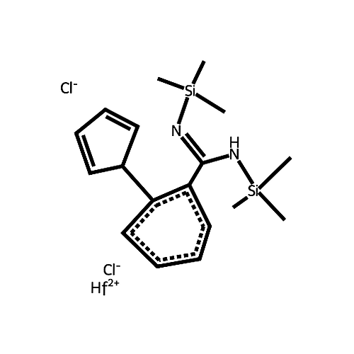 C[Si](C)(C)N=C(N[Si](C)(C)C)c1ccccc1C1C=CC=C1.[Cl-].[Cl-].[Hf+2]